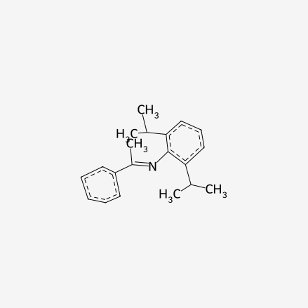 CC(=Nc1c(C(C)C)cccc1C(C)C)c1ccccc1